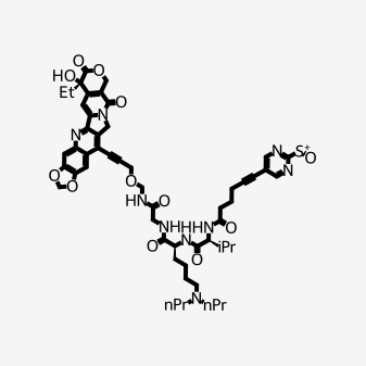 CCCN(CCC)CCCC[C@H](NC(=O)[C@@H](NC(=O)CCCC#Cc1cnc([S+]=O)nc1)C(C)C)C(=O)NCC(=O)NCOCC#Cc1c2c(nc3cc4c(cc13)OCO4)-c1cc3c(c(=O)n1C2)COC(=O)[C@]3(O)CC